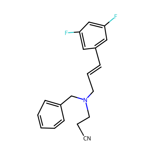 N#CCCN(CC=Cc1cc(F)cc(F)c1)Cc1ccccc1